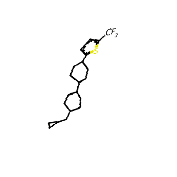 FC(F)(F)c1ccc(C2CCC(C3CCC(CC4CC4)CC3)CC2)s1